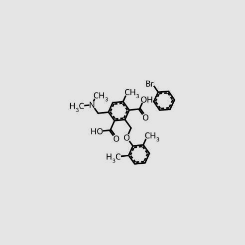 Brc1ccccc1.Cc1cccc(C)c1OCc1c(C(=O)O)c(C)cc(CN(C)C)c1C(=O)O